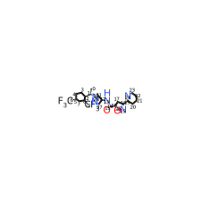 C[C@H](c1ccc(C(F)(F)F)cc1C(F)(F)F)n1cc(NC(=O)c2cc(-c3ccccn3)no2)cn1